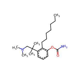 CCCCCCCc1c(OC(N)=O)cccc1C(C)(C)CN(C)C